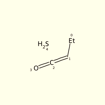 CCC=C=O.S